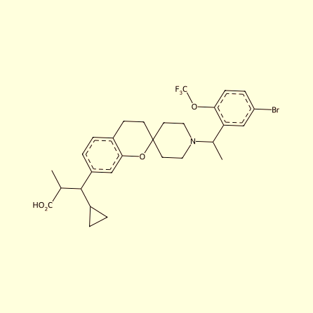 CC(C(=O)O)C(c1ccc2c(c1)OC1(CC2)CCN(C(C)c2cc(Br)ccc2OC(F)(F)F)CC1)C1CC1